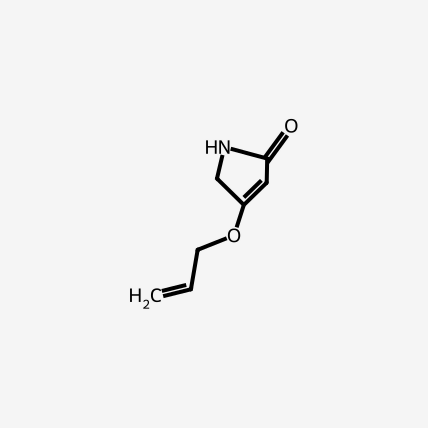 C=CCOC1=CC(=O)NC1